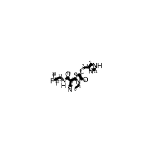 CCn1c(=O)c(=C=Cc2c[nH]cn2)s/c1=C(/C#N)C(=O)NCC(F)(F)F